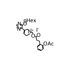 CCCCCCOc1nsnc1C1=CCC[N+](C)(COC(=O)CCc2ccccc2OC(C)=O)C1.[I-]